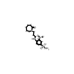 NS(=O)(=O)c1ccc(NCCCN2CCCCCC2=O)c([N+](=O)[O-])c1